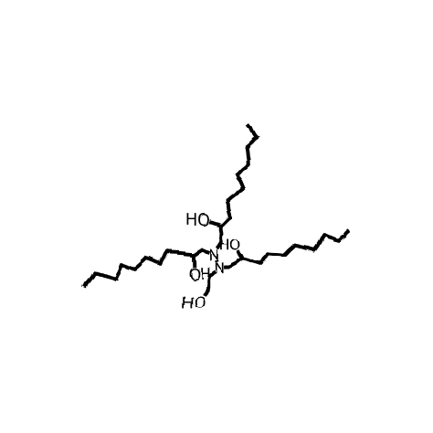 CCCCCCCCC(O)CN(CCO)N(CC(O)CCCCCCCC)CC(O)CCCCCCCC